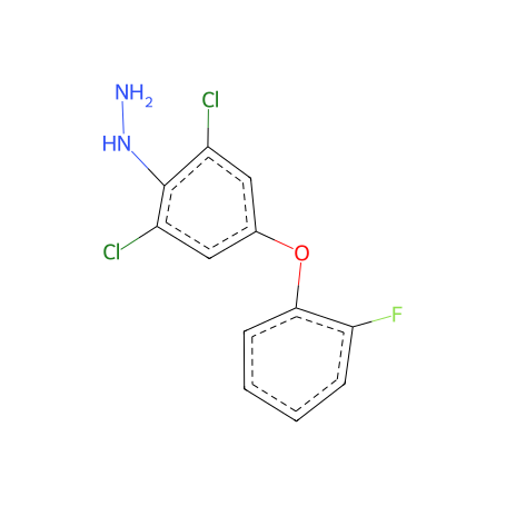 NNc1c(Cl)cc(Oc2ccccc2F)cc1Cl